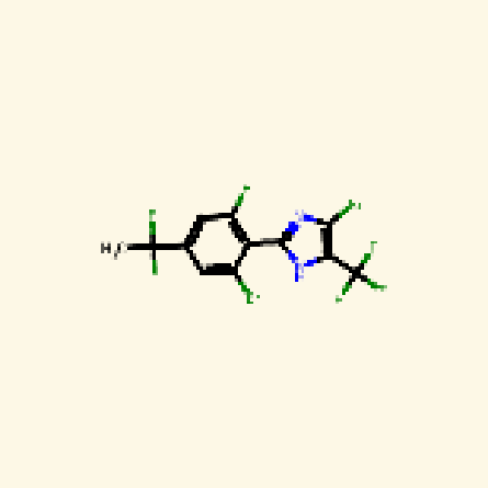 CC(F)(F)c1cc(F)c(-c2nc(Br)c(C(F)(F)F)[nH]2)c(Br)c1